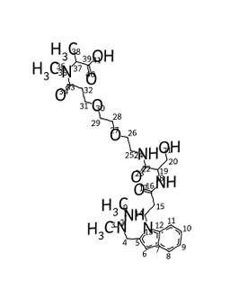 CNN(C)Cc1cc2ccccc2n1CCC(=O)NC(CO)C(=O)NCCOCCOCCC(=O)N(C)C(C)C(=O)O